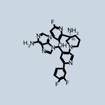 Nc1ncnc2c1ncn2Cc1cc(-c2ccc(F)c(F)c2)ncc1N1CCC[C@](N)(c2nc(F)ccc2O)C1